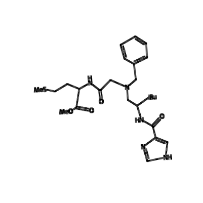 CCC(C)C(CN(CC(=O)NC(CCSC)C(=O)OC)Cc1ccccc1)NC(=O)c1c[nH]cn1